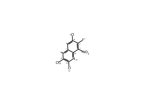 O=[N+]([O-])c1c(F)c(Cl)cc2nc(Cl)c(Cl)nc12